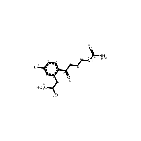 CCC(Cc1cc(Cl)ccc1C(=O)CCCNC(N)=O)C(=O)O